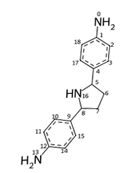 Nc1ccc(C2CCC(c3ccc(N)cc3)N2)cc1